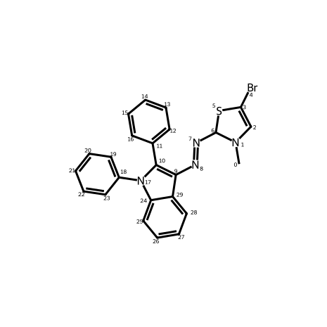 CN1C=C(Br)SC1N=Nc1c(-c2ccccc2)n(-c2ccccc2)c2ccccc12